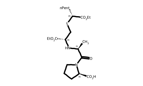 CCCCC[C@@H](SC[C@H](N[C@@H](C)C(=O)N1CCC[C@@H]1C(=O)O)C(=O)OCC)C(=O)OCC